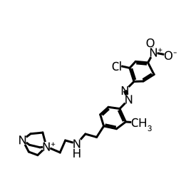 Cc1cc(CCNCC[N+]23CCN(CC2)CC3)ccc1N=Nc1ccc([N+](=O)[O-])cc1Cl